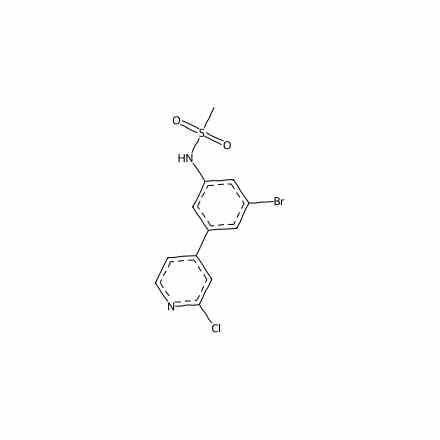 CS(=O)(=O)Nc1cc(Br)cc(-c2ccnc(Cl)c2)c1